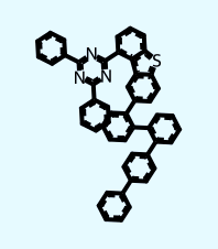 c1ccc(-c2ccc(-c3ccccc3-c3ccccc3-c3ccc4sc5cccc(-c6nc(-c7ccccc7)nc(-c7ccccc7)n6)c5c4c3)cc2)cc1